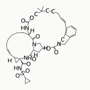 CC1(C)CCC/C=C/c2cccc3c2CN(C3)C(=O)O[C@@H]2C[C@H]3C(=O)N[C@]4(C(=O)NS(=O)(=O)C5CC5)C[C@H]4/C=C\CCCCC[C@H](NC(=O)OC1)C(=O)N3C2